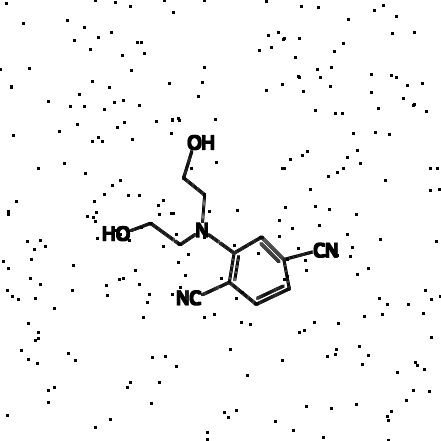 N#Cc1ccc(C#N)c(N(CCO)CCO)c1